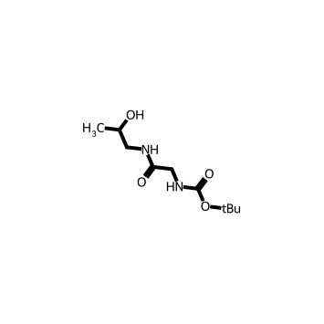 CC(O)CNC(=O)CNC(=O)OC(C)(C)C